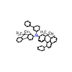 CC1(C)c2ccccc2-c2ccc(N(c3cccc(-c4ccccc4)c3)c3ccc4c(c3)C(C)(C)c3cccc5ccc(-c6ccccc6)c-4c35)cc21